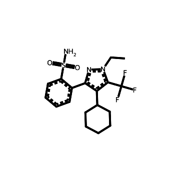 CCn1nc(-c2ccccc2S(N)(=O)=O)c(C2CCCCC2)c1C(F)(F)F